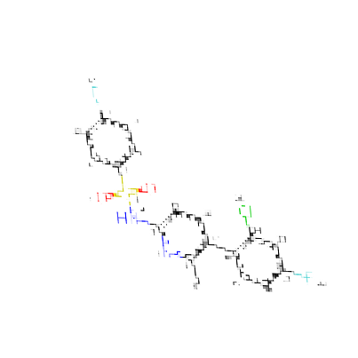 Cc1nc(NS(=O)(=O)c2ccc(F)cc2)ccc1-c1ccc(F)cc1Cl